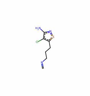 C=NCCCc1snc(N)c1Cl